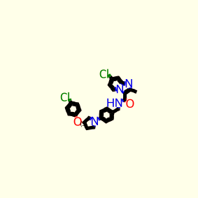 Cc1nc2cc(Cl)ccn2c1C(=O)NCc1ccc(N2CC[C@H](Oc3ccc(Cl)cc3)C2)cc1